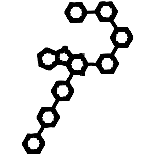 c1ccc(-c2ccc(-c3ccc(-c4nc(-c5cccc(-c6cccc(-c7cccc(-c8ccccc8)c7)c6)c5)nc5oc6ccccc6c45)cc3)cc2)cc1